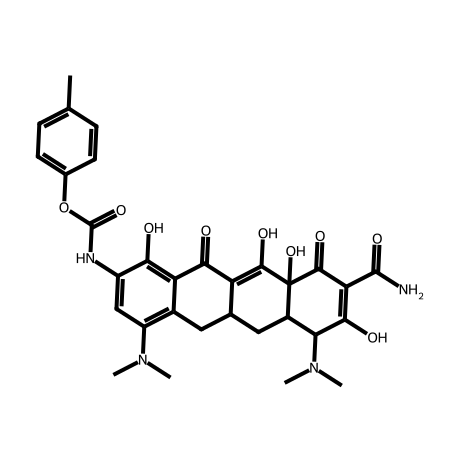 Cc1ccc(OC(=O)Nc2cc(N(C)C)c3c(c2O)C(=O)C2=C(O)C4(O)C(=O)C(C(N)=O)=C(O)C(N(C)C)C4CC2C3)cc1